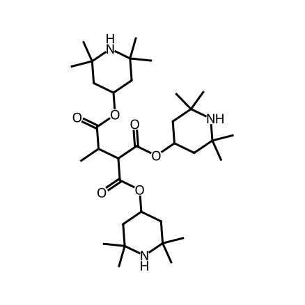 CC(C(=O)OC1CC(C)(C)NC(C)(C)C1)C(C(=O)OC1CC(C)(C)NC(C)(C)C1)C(=O)OC1CC(C)(C)NC(C)(C)C1